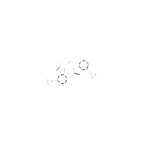 CC1=Cc2c(C3CC3)cccc2[CH]1[Hf]([CH]1C(C)=Cc2c(C3CC3)cccc21)=[Si](C)C